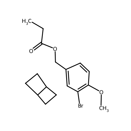 C1CC2CCC12.CCC(=O)OCc1ccc(OC)c(Br)c1